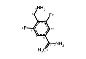 C=C(N)c1cc(F)c(CN)c(F)c1